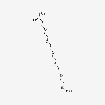 CC(C)(C)NCCOCCOCCOCCOCCOCCC(=O)C(C)(C)C